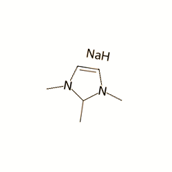 CC1N(C)C=CN1C.[NaH]